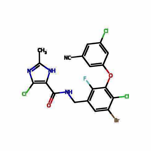 Cc1nc(Cl)c(C(=O)NCc2cc(Br)c(Cl)c(Oc3cc(Cl)cc(C#N)c3)c2F)[nH]1